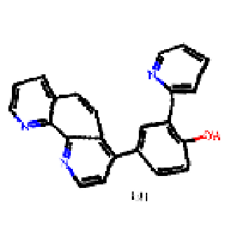 Oc1ccc(-c2ccnc3c2ccc2cccnc23)cc1-c1ccccn1.[LiH]